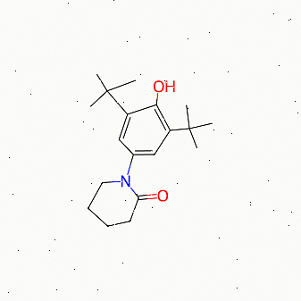 CC(C)(C)c1cc(N2CCCCC2=O)cc(C(C)(C)C)c1O